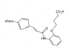 CCCCCc1ccc(/C=C/C(=O)Nc2ccccc2OCCCC(=O)O)cc1